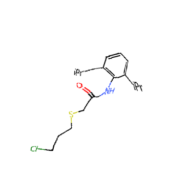 CC(C)c1cccc(C(C)C)c1NC(=O)CSCCCCl